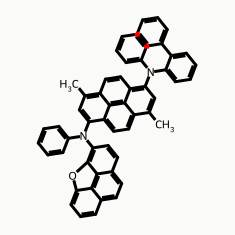 Cc1cc(N(c2ccccc2)c2ccccc2-c2ccccc2)c2ccc3c(C)cc(N(c4ccccc4)c4ccc5ccc6cccc7oc4c5c67)c4ccc1c2c34